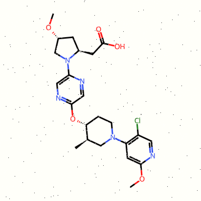 COc1cc(N2CC[C@@H](Oc3cnc(N4C[C@H](OC)C[C@H]4CC(=O)O)cn3)[C@H](C)C2)c(Cl)cn1